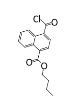 CCCCOC(=O)c1ccc(C(=O)Cl)c2ccccc12